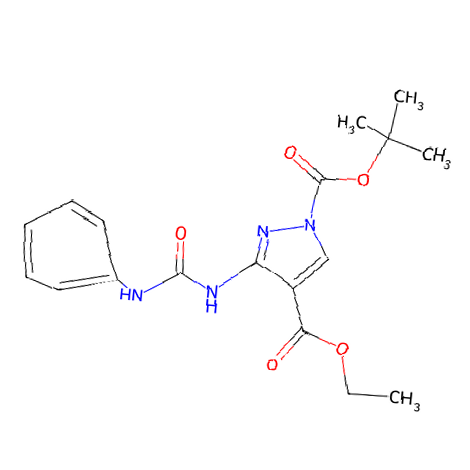 CCOC(=O)c1cn(C(=O)OC(C)(C)C)nc1NC(=O)Nc1ccccc1